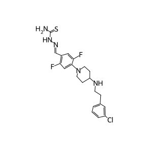 NC(=S)NN=Cc1cc(F)c(N2CCC(NCCc3cccc(Cl)c3)CC2)cc1F